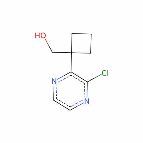 OCC1(c2nccnc2Cl)CCC1